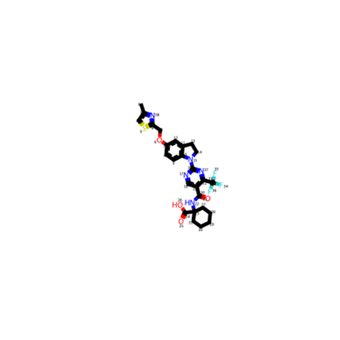 Cc1csc(COc2ccc3c(c2)CCN3c2ncc(C(=O)NC3(C(=O)O)CCCCC3)c(C(F)(F)F)n2)n1